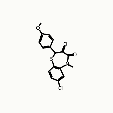 COc1ccc(C2Sc3ccc(Cl)cc3N(C)C(=O)C2=O)cc1